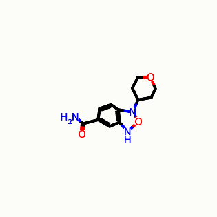 NC(=O)c1ccc2c(c1)NON2C1CCOCC1